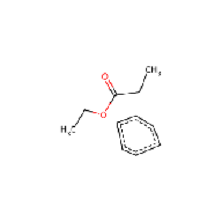 CCOC(=O)CC.c1ccccc1